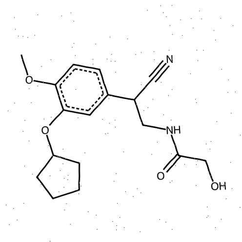 COc1ccc(C(C#N)CNC(=O)CO)cc1OC1CCCC1